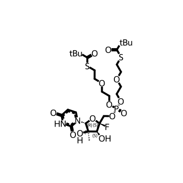 CC(C)(C)C(=O)SCCOCCOP(=O)(OCCOCCSC(=O)C(C)(C)C)OC[C@@]1(F)O[C@@H](n2ccc(=O)[nH]c2=O)[C@](C)(O)[C@@H]1O